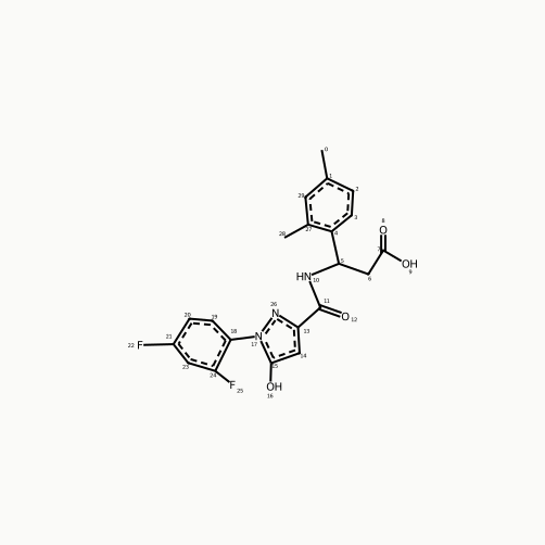 Cc1ccc(C(CC(=O)O)NC(=O)c2cc(O)n(-c3ccc(F)cc3F)n2)c(C)c1